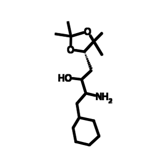 CC1(C)O[C@@H](CC(O)C(N)CC2CCCCC2)C(C)(C)O1